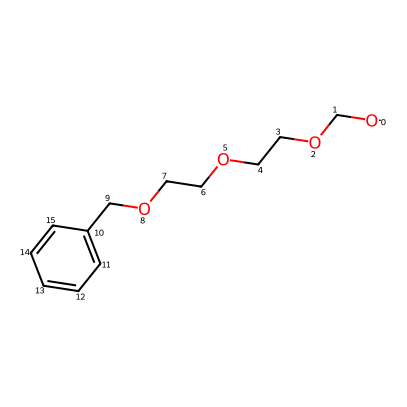 [O]COCCOCCOCc1ccccc1